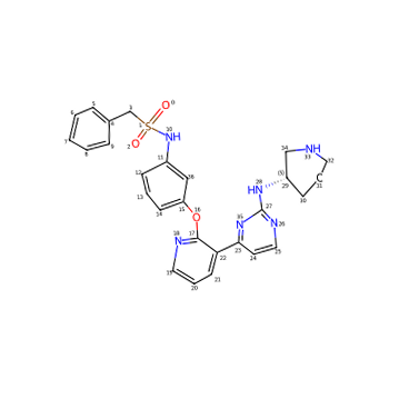 O=S(=O)(Cc1ccccc1)Nc1cccc(Oc2ncccc2-c2ccnc(N[C@H]3CCCNC3)n2)c1